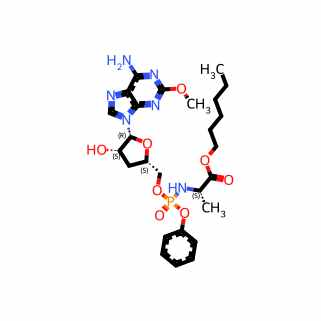 CCCCCCOC(=O)[C@H](C)NP(=O)(OC[C@@H]1C[C@H](O)[C@H](n2cnc3c(N)nc(OC)nc32)O1)Oc1ccccc1